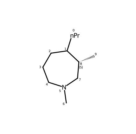 CCCC1CCCN(C)C[C@H]1C